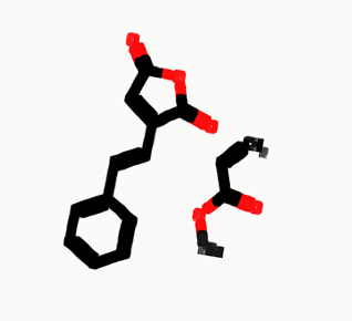 C=CC(=O)OCCCC.O=C1C=C(C=Cc2ccccc2)C(=O)O1